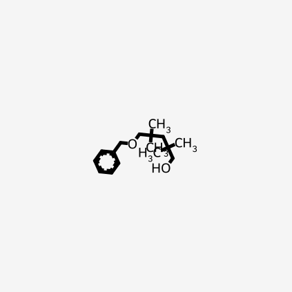 CC(C)(CO)CC(C)(C)COCc1ccccc1